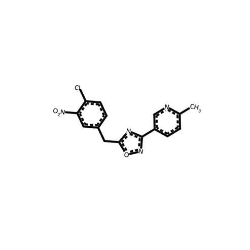 Cc1ccc(-c2noc(Cc3ccc(Cl)c([N+](=O)[O-])c3)n2)cn1